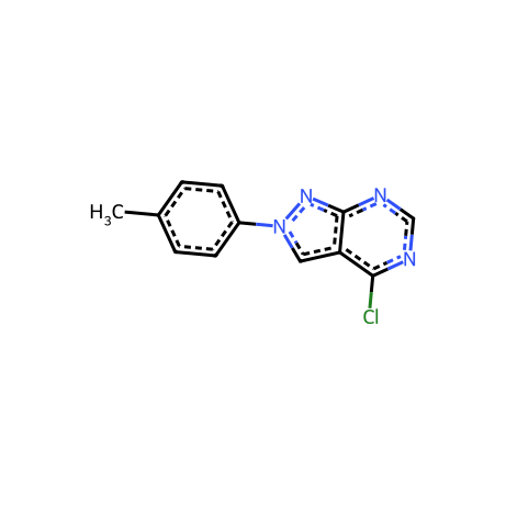 Cc1ccc(-n2cc3c(Cl)ncnc3n2)cc1